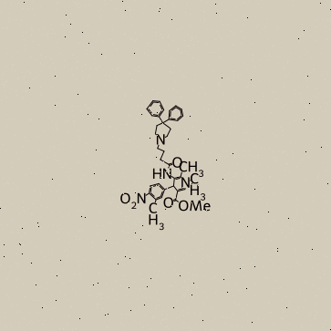 COC(=O)C1=CN(C)C(C)=C(NC(=O)CCCN2CCC(c3ccccc3)(c3ccccc3)CC2)C1c1ccc([N+](=O)[O-])c(C)c1